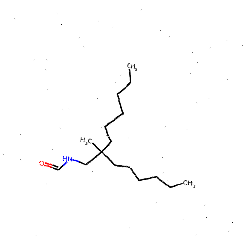 CCCCCCC(C)(CCCCCC)CNC=O